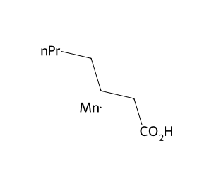 CCCCCCC(=O)O.[Mn]